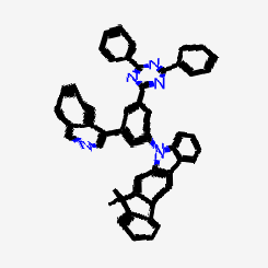 CC1(C)c2ccccc2-c2cc3c4ccccc4n(-c4cc(-c5nc(-c6ccccc6)nc(-c6ccccc6)n5)cc(-c5cncc6ccccc56)c4)c3cc21